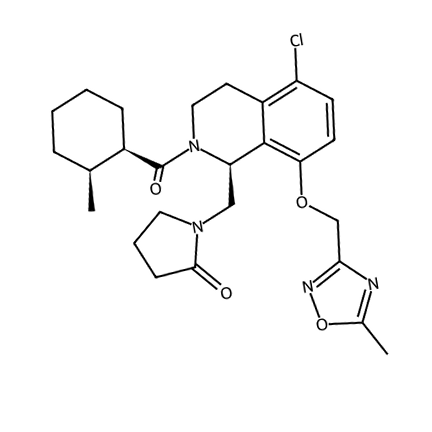 Cc1nc(COc2ccc(Cl)c3c2[C@@H](CN2CCCC2=O)N(C(=O)[C@@H]2CCCC[C@@H]2C)CC3)no1